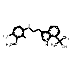 COc1c(C)ccc(NCCc2c[nH]c3c(C(C)(C)O)cccc23)c1F